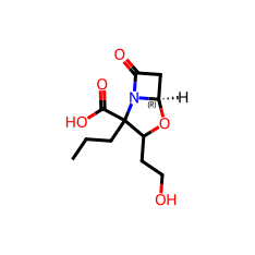 CCCC1(C(=O)O)C(CCO)O[C@@H]2CC(=O)N21